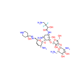 NC[C@@H]1O[C@H](O[C@H]2[C@@H](O)[C@H](O[C@@H]3[C@@H](O)[C@H](NC(=O)C(O)C(F)(F)CN)C[C@H](N)[C@H]3O[C@H]3O[C@H](CNCC4(O)CCNCC4)C=C[C@H]3N)O[C@@H]2CO)[C@H](N)[C@@H](O)[C@@H]1O